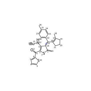 C=c1sc(C(=O)c2cccs2)c(NC(C)(C)C)/c1=C(/C1=C(C)CCC1)c1ccc(C)cc1